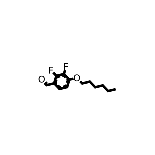 CCCCCCOc1ccc(C=O)c(F)c1F